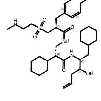 C=CC[C@H](O)[C@H](CC1CCCCC1)NC(=O)[C@@H](CNC(=O)[C@H](CC(/C=C\CC)=C/C)CS(=O)(=O)CCNC)C1CCCCC1